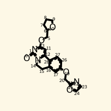 O=c1nc(OCC2CCCO2)cc2n1CCc1cc(OCc3ncco3)ccc1-2